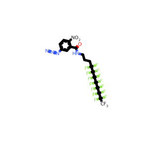 [N-]=[N+]=Nc1ccc([N+](=O)[O-])c(C(=O)NCCCC(F)(F)C(F)(F)C(F)(F)C(F)(F)C(F)(F)C(F)(F)C(F)(F)C(F)(F)F)c1